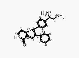 NCC(N)c1ccc(-c2nc3cc[nH]c(=O)c3cc2-c2ccccc2)cc1